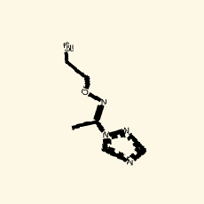 C/C(=N\OCCC(C)(C)C)n1cncn1